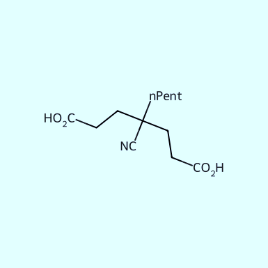 CCCCCC(C#N)(CCC(=O)O)CCC(=O)O